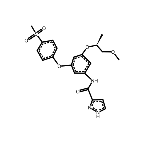 COC[C@H](C)Oc1cc(NC(=O)c2cc[nH]n2)cc(Oc2ccc(S(C)(=O)=O)cc2)c1